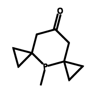 CP1C2(CC2)CC(=O)CC12CC2